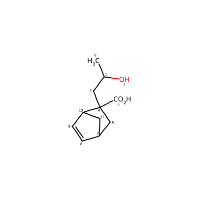 CC(O)CC1(C(=O)O)CC2C=CC1C2